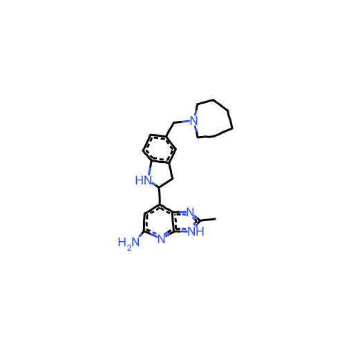 Cc1nc2c(C3Cc4cc(CN5CCCCCC5)ccc4N3)cc(N)nc2[nH]1